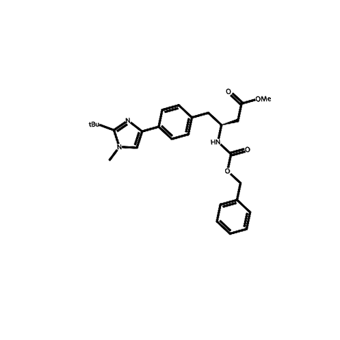 COC(=O)C[C@H](Cc1ccc(-c2cn(C)c(C(C)(C)C)n2)cc1)NC(=O)OCc1ccccc1